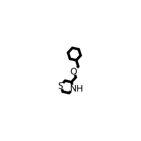 C1CCC(COCC2CSCCN2)CC1